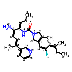 CC/C=C(NC(=O)N1CC(C)=C(/C=C(F)\C=C(\C)CC)C1)/C(N)=C\C=C(/C)c1cccnc1